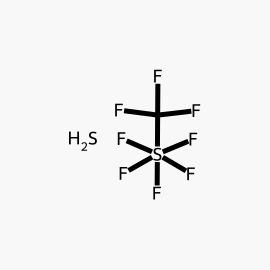 FC(F)(F)S(F)(F)(F)(F)F.S